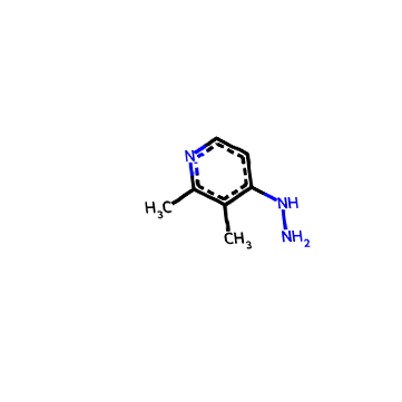 Cc1nccc(NN)c1C